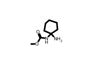 COC(=O)NC1(N)CCCCC1